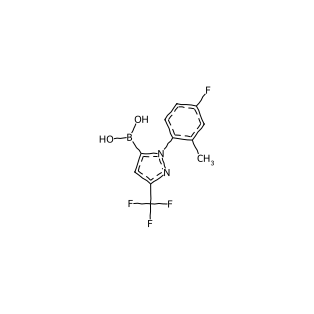 Cc1cc(F)ccc1-n1nc(C(F)(F)F)cc1B(O)O